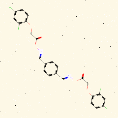 O=C(COc1ccc(Cl)cc1Cl)ON=Cc1ccc(C=NOC(=O)COc2ccc(Cl)cc2Cl)cc1